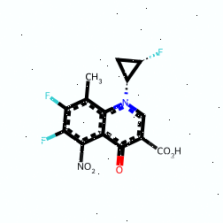 Cc1c(F)c(F)c([N+](=O)[O-])c2c(=O)c(C(=O)O)cn([C@@H]3C[C@@H]3F)c12